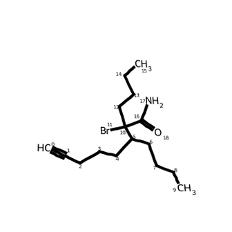 C#CCCCC(CCCC)C(Br)(CCCC)C(N)=O